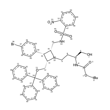 CC(C)(C)OC(=O)N[C@H](CO)CCN1[C@H](COC(c2ccccc2)(c2ccccc2)c2ccccc2)[C@H](c2ccc(Br)cc2)[C@@H]1CNS(=O)(=O)c1ccccc1[N+](=O)[O-]